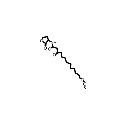 O=C(CCCCCCCCCCN=C=S)CC(=O)NC1CCOC1=O